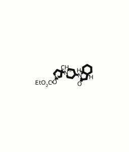 CCOC(=O)ON1CCC(C)(N2CCC(N3C(=O)C[C@@H]4CCCC[C@H]43)CC2)C1